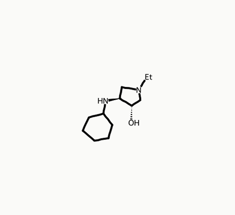 CCN1C[C@H](NC2CCCCC2)[C@@H](O)C1